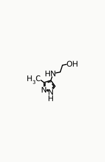 Cc1n[nH]cc1NCCO